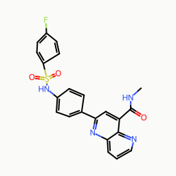 CNC(=O)c1cc(-c2ccc(NS(=O)(=O)c3ccc(F)cc3)cc2)nc2cccnc12